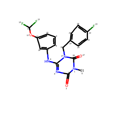 CCn1c(=O)nc(Nc2cccc(OC(F)F)c2)n(Cc2ccc(F)cc2)c1=O